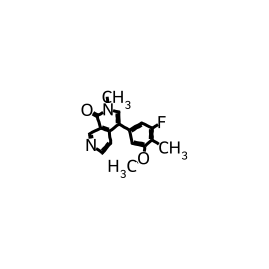 COc1cc(-c2cn(C)c(=O)c3cnccc23)cc(F)c1C